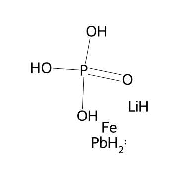 O=P(O)(O)O.[Fe].[LiH].[PbH2]